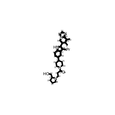 Cc1c(-c2[nH]c3ccc(C4CCN(C(=O)CCN5CCCC5CO)CC4)cc3c2C(C)C)cn2ncnc2c1C